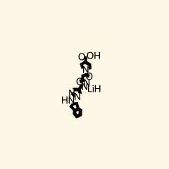 O=C(O)C1=CCN(C(=O)Cc2nnc(-c3cnc(NC4Cc5ccccc5C4)nc3)o2)CC1.[LiH]